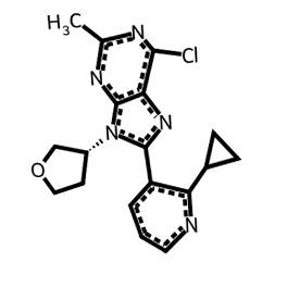 Cc1nc(Cl)c2nc(-c3cccnc3C3CC3)n([C@@H]3CCOC3)c2n1